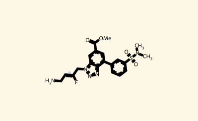 COC(=O)c1cc(-c2cccc(S(=O)(=O)N(C)C)c2)c2nnn(C/C(F)=C/CN)c2c1